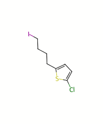 Clc1ccc(CCCCI)s1